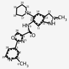 Cc1cc(-c2nc(C(=O)Nc3cc4c(cc3N3CCCCC3)CN(C)N4)co2)ccn1